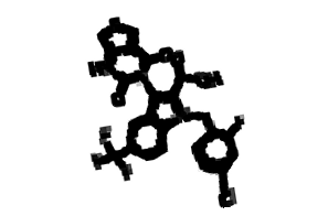 O=C(O)c1c(-n2c(=O)[nH]c3cscc3c2=O)c2cc(C(F)(F)F)ccc2n1Cc1ccc(Cl)cc1F